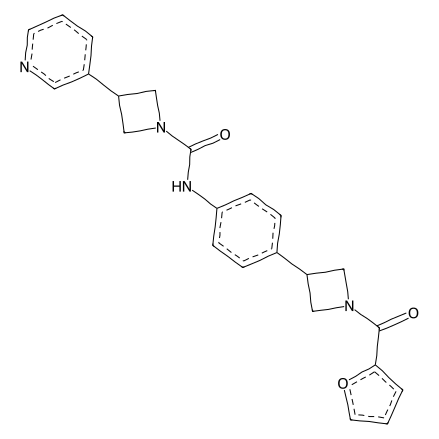 O=C(Nc1ccc(C2CN(C(=O)c3ccco3)C2)cc1)N1CC(c2cccnc2)C1